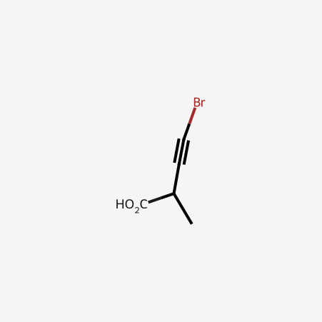 CC(C#CBr)C(=O)O